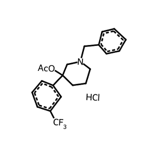 CC(=O)OC1(c2cccc(C(F)(F)F)c2)CCCN(Cc2ccccc2)C1.Cl